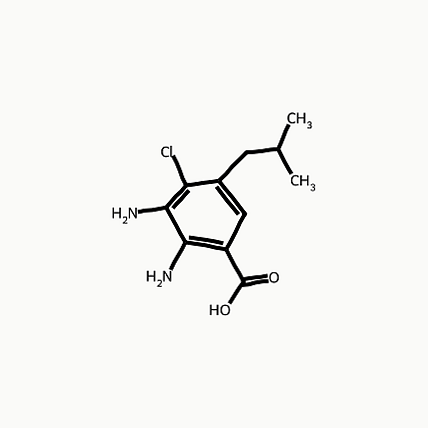 CC(C)Cc1cc(C(=O)O)c(N)c(N)c1Cl